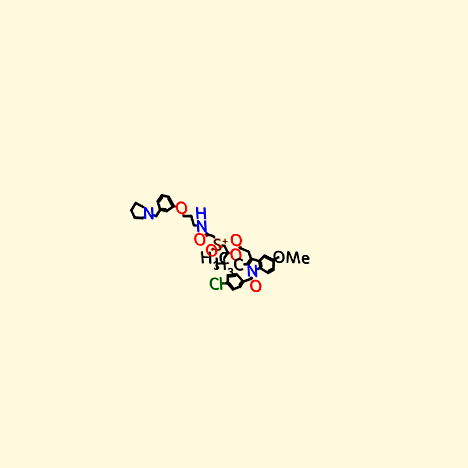 COc1ccc2c(c1)c(CC(=O)OC(C)C[S+]([O-])CC(=O)NCCCOc1cccc(CN3CCCCC3)c1)c(C)n2C(=O)c1ccc(Cl)cc1